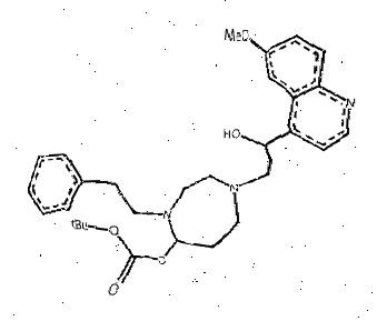 COc1ccc2nccc(C(O)CN3CCC(OC(=O)OC(C)(C)C)N(CCc4ccccc4)CC3)c2c1